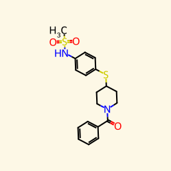 CS(=O)(=O)Nc1ccc(SC2CCN(C(=O)c3ccccc3)CC2)cc1